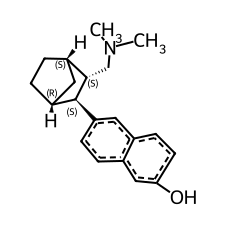 CN(C)C[C@H]1[C@H]2CC[C@H](C2)[C@@H]1c1ccc2cc(O)ccc2c1